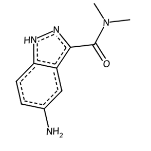 CN(C)C(=O)c1n[nH]c2ccc(N)cc12